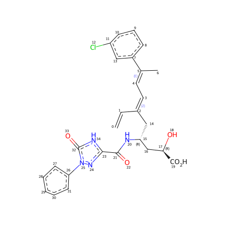 C=C/C(=C\C=C(/C)c1cccc(Cl)c1)C[C@H](C[C@@H](O)C(=O)O)NC(=O)c1nn(-c2ccccc2)c(=O)[nH]1